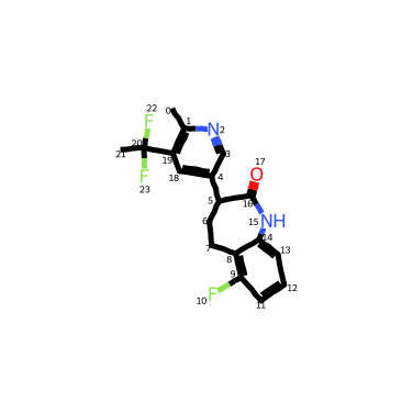 Cc1ncc(C2CCc3c(F)cccc3NC2=O)cc1C(C)(F)F